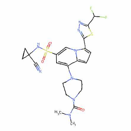 CN(C)C(=O)N1CCN(c2cc(S(=O)(=O)NC3(C#N)CC3)cn3c(-c4nnc(C(F)F)s4)ccc23)CC1